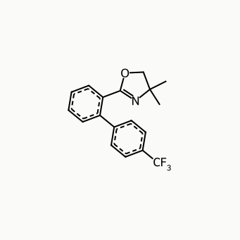 CC1(C)COC(c2ccccc2-c2ccc(C(F)(F)F)cc2)=N1